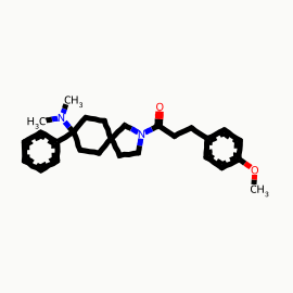 COc1ccc(CCC(=O)N2CCC3(CCC(c4ccccc4)(N(C)C)CC3)C2)cc1